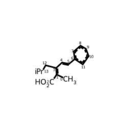 CC(C(=O)O)=C(C=Cc1ccccc1)CC(C)C